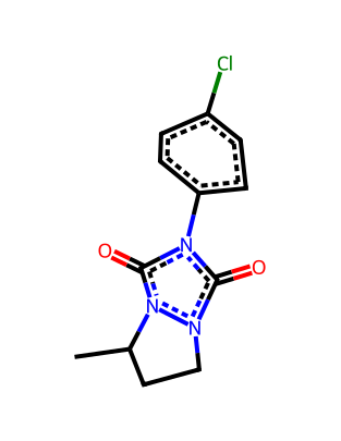 CC1CCn2c(=O)n(-c3ccc(Cl)cc3)c(=O)n21